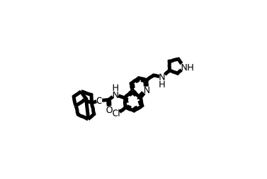 O=C(CC12CC3CC(CC(C3)C1)C2)Nc1c(Cl)ccc2nc(CNC3CCNC3)ccc12